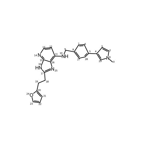 Cn1ccc(-c2ccc(CNc3ccnc4[nH]c(CCc5ccco5)nc34)cc2)c1